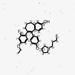 CCOc1ccc(C2=C(c3ccc(O[C@H]4CCN(CCCF)C4)cc3)c3ccc(O)cc3CCC2)c(F)c1